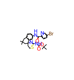 CC1(C)Cc2ccc(NC(=O)c3ccc(Br)cn3)cc2C2(CCSC(NC(=O)OC(C)(C)C)=N2)C1